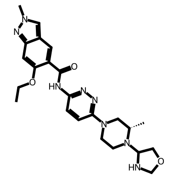 CCOc1cc2nn(C)cc2cc1C(=O)Nc1ccc(N2CCN(C3COCN3)[C@@H](C)C2)nn1